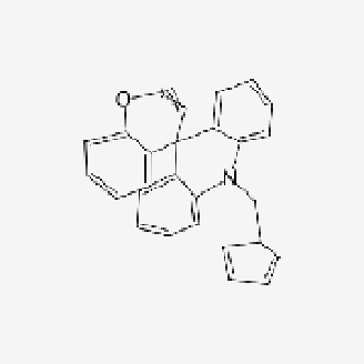 C1=CC(CN2c3ccccc3C3(c4ccccc4Oc4ccccc43)c3ccccc32)C=C1